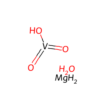 O.[MgH2].[O]=[V](=[O])[OH]